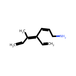 C=C/C(C)=C(C=C)/C=C\CN